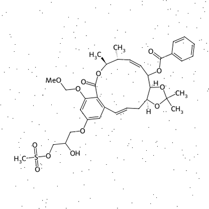 COCOc1cc(OCC(O)COS(C)(=O)=O)cc2c1C(=O)O[C@@H](C)[C@H](C)/C=C\C(OC(=O)c1ccccc1)[C@H]1OC(C)(C)O[C@H]1C/C=C/2